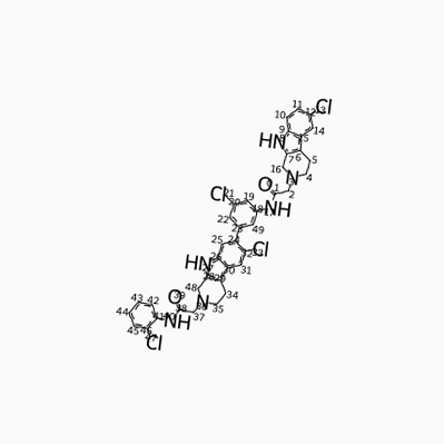 O=C(CN1CCc2c([nH]c3ccc(Cl)cc23)C1)Nc1cc(Cl)cc(-c2cc3[nH]c4c(c3cc2Cl)CCN(CC(=O)Nc2ccccc2Cl)C4)c1